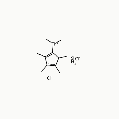 CC1=C(C)C(C)[C]([Ti+2]([CH3])[CH3])=C1C.[Cl-].[Cl-].[SiH4]